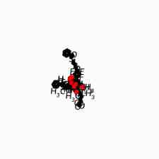 CCC(CC)(CC(c1c(F)c(F)c(OCCCCSC(=O)c2ccccc2)c(F)c1F)C(C)(CC)C(C)(C)CC(C)(C(=O)NCCC[N+](C)(C)CCCS(=O)(=O)[O-])C(C)(CC)SC(=S)c1ccccc1)C(C)(C)C#N